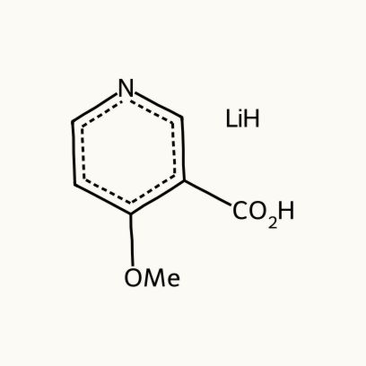 COc1ccncc1C(=O)O.[LiH]